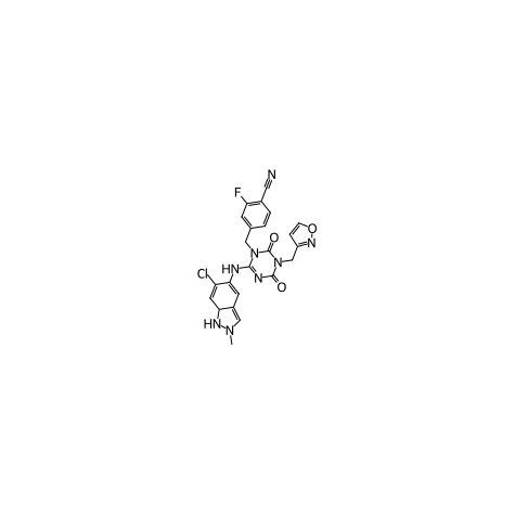 CN1C=C2C=C(Nc3nc(=O)n(Cc4ccon4)c(=O)n3Cc3ccc(C#N)c(F)c3)C(Cl)=CC2N1